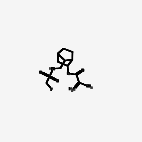 C=C(C)C(=O)OC1CC2CCC1C2CNS(=O)(=O)CF